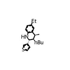 CCCC[C@@H]1[C@H](C)c2cc(CC)ccc2N[C@H]1c1ccsc1